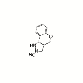 N#CN1CC2COc3ccccc3C2N1